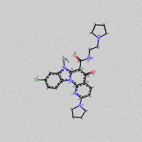 Cn1c2cc(Cl)ccc2n2c3nc(N4CCCC4)ccc3c(=O)c(C(=O)NCCN3CCCC3)c12